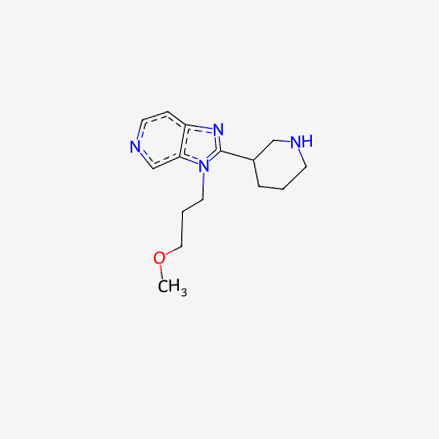 COCCCn1c(C2CCCNC2)nc2ccncc21